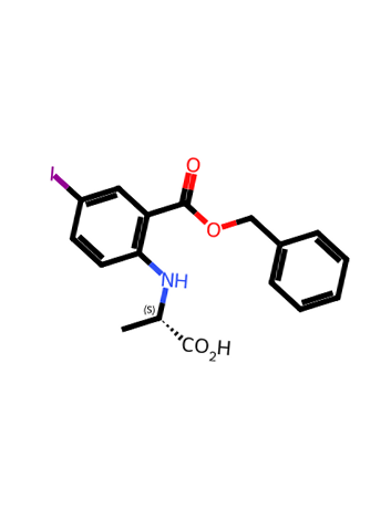 C[C@H](Nc1ccc(I)cc1C(=O)OCc1ccccc1)C(=O)O